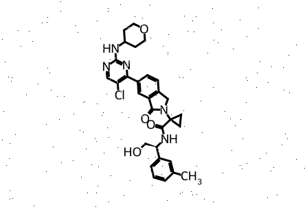 Cc1cccc([C@@H](CO)NC(=O)C2(N3Cc4ccc(-c5nc(NC6CCOCC6)ncc5Cl)cc4C3=O)CC2)c1